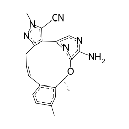 Cc1ccc2c(c1)[C@@H](C)Oc1nc(cnc1N)-c1c(nn(C)c1C#N)C/C=C\2